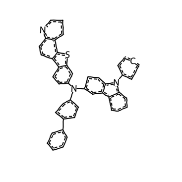 c1ccc(-c2ccc(N(c3ccc4c(c3)sc3c5cccnc5ccc43)c3ccc4c(c3)c3ccccc3n4-c3ccccc3)cc2)cc1